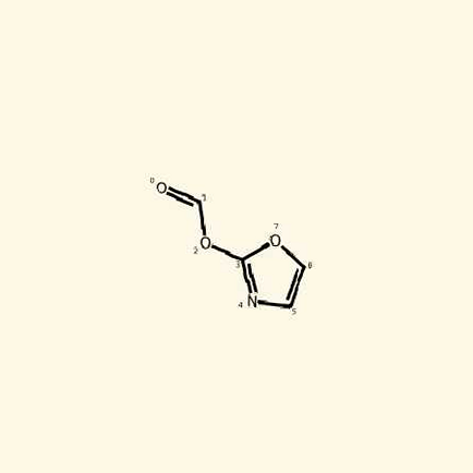 O=COc1ncco1